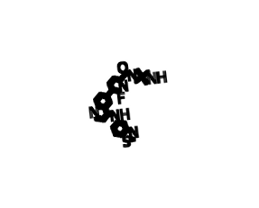 O=C(c1ccc(-c2ccc3nccc(Nc4ccc5scnc5c4)c3c2)c(F)n1)N1CC2(CNC2)C1